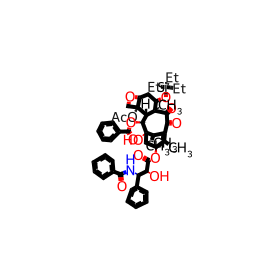 CC[Si](CC)(CC)OC1CC2OC[C@@]2(OC(C)=O)[C@H]2[C@H](OC(=O)c3ccccc3)[C@]3(O)C[C@H](OC(=O)[C@H](O)[C@@H](NC(=O)c4ccccc4)c4ccccc4)C(C)=C(C(=O)C(=O)[C@]12C)C3(C)C